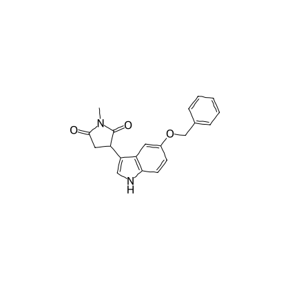 CN1C(=O)CC(c2c[nH]c3ccc(OCc4ccccc4)cc23)C1=O